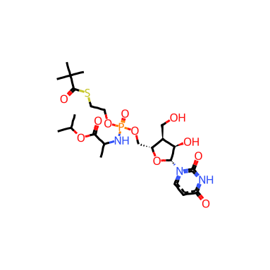 CC(C)OC(=O)C(C)NP(=O)(OCCSC(=O)C(C)(C)C)OC[C@H]1O[C@@H](n2ccc(=O)[nH]c2=O)[C@H](O)[C@@H]1CO